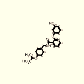 CC(OC1CC=C(CNC(=O)c2cccnc2Oc2cccc(C#N)c2)CC1)C(=O)O